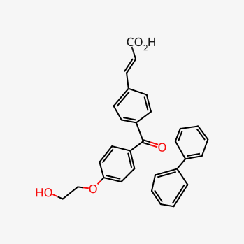 O=C(O)C=Cc1ccc(C(=O)c2ccc(OCCO)cc2)cc1.c1ccc(-c2ccccc2)cc1